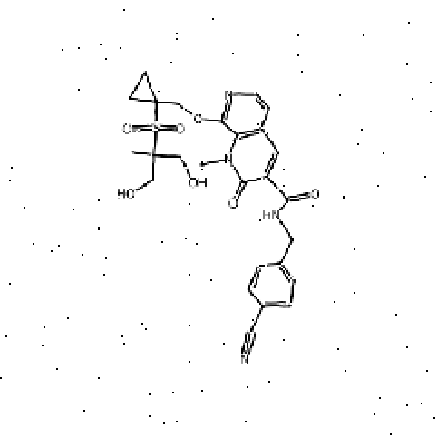 Cn1c(=O)c(C(=O)NCc2ccc(C#N)cc2)cc2ccnc(OCC3(S(=O)(=O)C(C)(CO)CO)CC3)c21